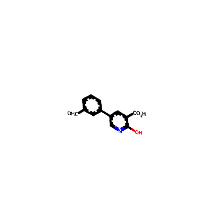 O=Cc1cccc(-c2cnc(O)c(C(=O)O)c2)c1